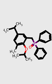 Cc1cc(C(C)C)cc(CP(=O)(c2ccccc2)c2ccccc2)c1OC(C)C